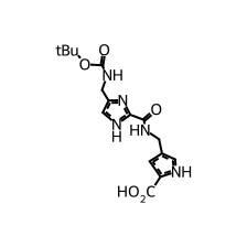 CC(C)(C)OC(=O)NCc1c[nH]c(C(=O)NCc2c[nH]c(C(=O)O)c2)n1